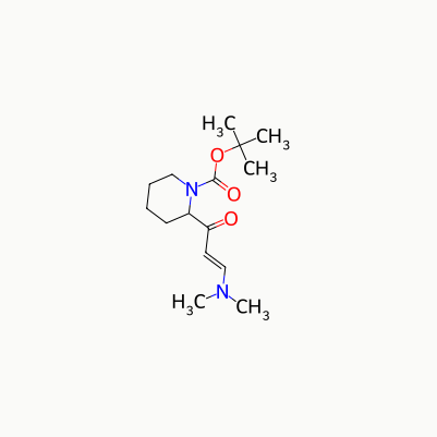 CN(C)/C=C/C(=O)C1CCCCN1C(=O)OC(C)(C)C